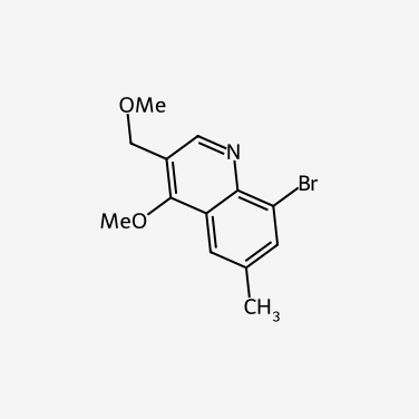 COCc1cnc2c(Br)cc(C)cc2c1OC